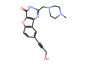 CN1CCN(Cc2nc3c(oc4ccc(C#CCO)cc43)c(=O)[nH]2)CC1